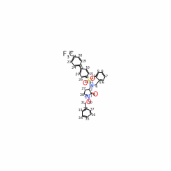 O=C1C(N(Cc2ccccc2)S(=O)(=O)c2ccc(-c3ccc(C(F)(F)F)cc3)cc2)CCN1OCc1ccccc1